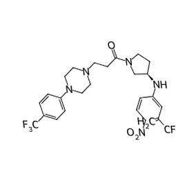 C=C(/C=C(\C=C/C[N+](=O)[O-])N[C@@H]1CCN(C(=O)CCN2CCN(c3ccc(C(F)(F)F)cc3)CC2)C1)C(F)(F)F